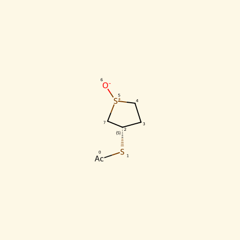 CC(=O)S[C@H]1CC[S+]([O-])C1